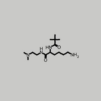 CN(C)CCNC(=O)C(CCCCN)NC(=O)C(C)(C)C